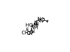 OC(NCc1ncn2ccc(Cl)c(F)c12)c1cn(Cc2cn3cc(C4CC4)ccc3n2)nn1